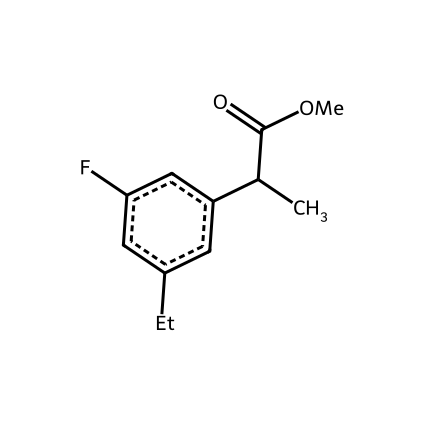 CCc1cc(F)cc(C(C)C(=O)OC)c1